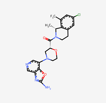 C[C@@H]1c2c(cc(Cl)cc2C(F)(F)F)CCN1C(=O)[C@H]1CN(c2cncc3nc(N)oc23)CCO1